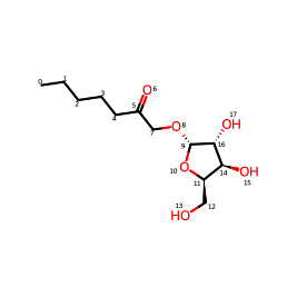 CCCCCC(=O)CO[C@H]1O[C@H](CO)[C@H](O)[C@H]1O